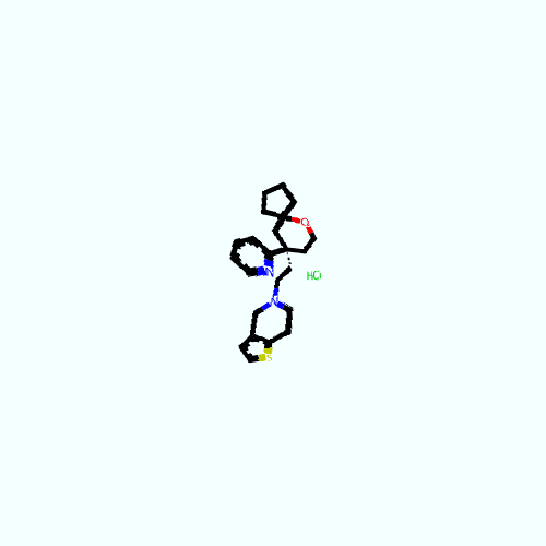 Cl.c1ccc([C@]2(CCN3CCc4sccc4C3)CCOC3(CCCC3)C2)nc1